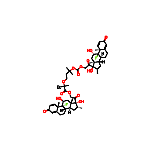 CCC(C)(OCCC(C)(C)OC(=O)OCC(=O)[C@@]1(O)[C@H](C)C[C@H]2[C@@H]3CCC4=CC(=O)C=C[C@]4(C)[C@@]3(F)[C@@H](O)C[C@@]21C)C(=O)OCC(=O)[C@@]1(O)[C@H](C)C[C@H]2[C@@H]3CCC4=CC(=O)C=C[C@]4(C)[C@@]3(F)[C@@H](O)C[C@@]21C